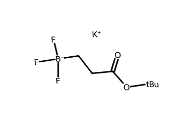 CC(C)(C)OC(=O)CC[B-](F)(F)F.[K+]